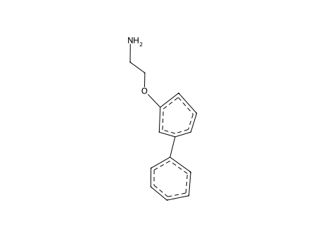 NCCOc1cccc(-c2ccccc2)c1